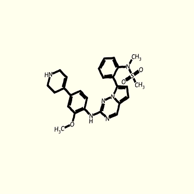 COc1cc(C2=CCNCC2)ccc1Nc1ncc2ccc(-c3ccccc3N(C)S(C)(=O)=O)n2n1